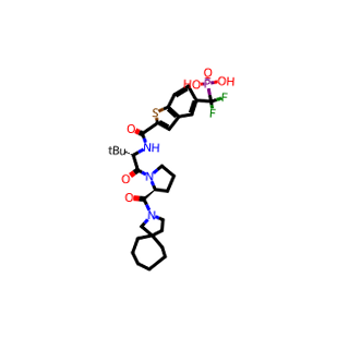 CC(C)(C)[C@H](NC(=O)c1cc2cc(C(F)(F)P(=O)(O)O)ccc2s1)C(=O)N1CCC[C@H]1C(=O)N1CCC2(CCCCCC2)C1